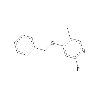 Cc1cnc(F)cc1SCc1ccccc1